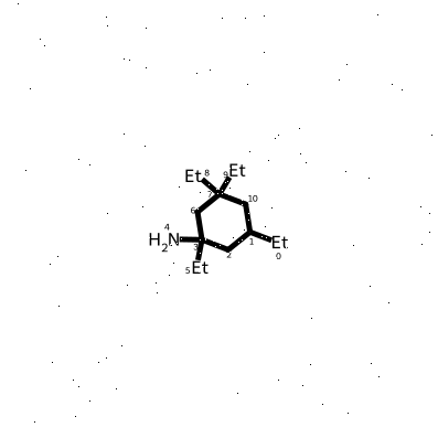 CCC1CC(N)(CC)CC(CC)(CC)C1